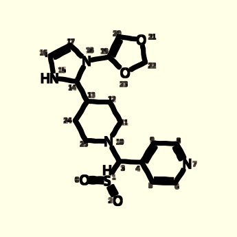 O=[SH](=O)C(c1ccncc1)N1CCC(C2N[C]=CN2C2=COCO2)CC1